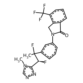 Cn1cnnc1[C@H](F)C(C)(F)c1cccc(N2Cc3c(cccc3C(F)(F)F)C2=O)c1